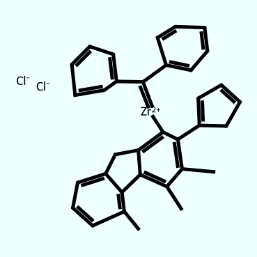 Cc1cccc2c1-c1c(C)c(C)c(C3=CC=CC3)[c]([Zr+2]=[C](c3ccccc3)c3ccccc3)c1C2.[Cl-].[Cl-]